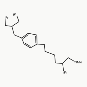 CNCC(CCCCc1ccc(CC(CC(C)C)CC(C)C)cc1)C(C)C